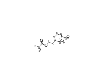 C=C(C)C(=O)OCCC1CCC2CC1CC2=O